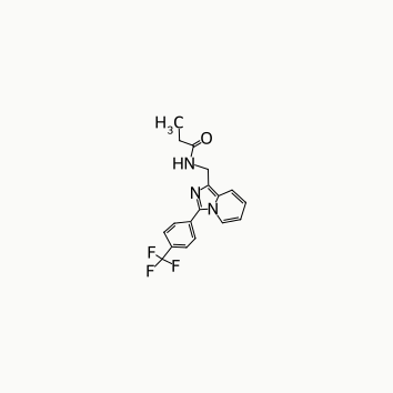 CCC(=O)NCc1nc(-c2ccc(C(F)(F)F)cc2)n2ccccc12